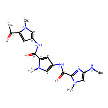 Cn1cc(NC(=O)c2nc(NC(C)(C)C)cn2C)cc1C(=O)Nc1cc(C(=O)C(C)(C)C)n(C)c1